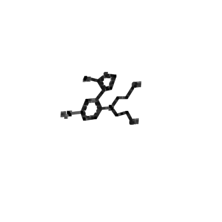 CC(=O)c1sccc1-c1cc(N)ccc1N(CCO)CCO